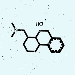 CN(C)CC1CCCC2c3ccccc3CCC12.Cl